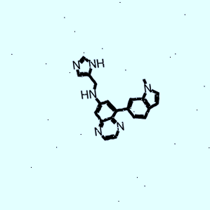 Cn1ccc2ccc(-c3cc(NCc4cnc[nH]4)cc4nccnc34)cc21